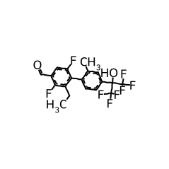 CCc1c(F)c(C=O)cc(F)c1-c1ccc(C(O)(C(F)(F)F)C(F)(F)F)cc1C